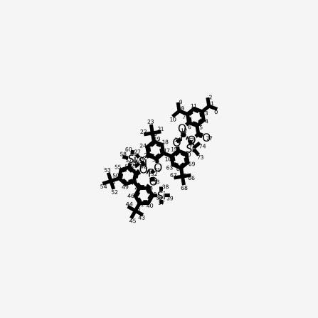 CC(C)c1cc2c(c(C(C)C)c1)OP(Oc1c(-c3cc(C(C)(C)C)cc([Si](C)(C)C)c3Op3oc4c([Si](C)(C)C)cc(C(C)(C)C)cc4c4cc(C(C)(C)C)cc([Si](C)(C)C)c4o3)cc(C(C)(C)C)cc1[Si](C)(C)C)OC2=O